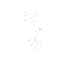 C/C=C\C1=C(C)N(C2=CCCC3C(=C2)C(C)(C)C2=C(C=CC(N4c5ccccc5-c5ccccc5-c5ccccc54)=CC2)S3(=O)=O)c2ccccc2-c2ccccc21